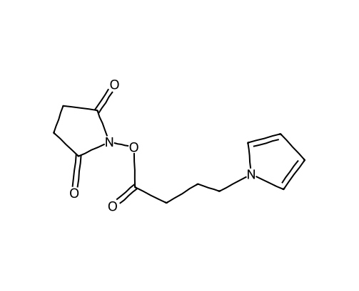 O=C(CCCn1cccc1)ON1C(=O)CCC1=O